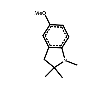 COc1ccc2c(c1)CC(C)(C)N2C